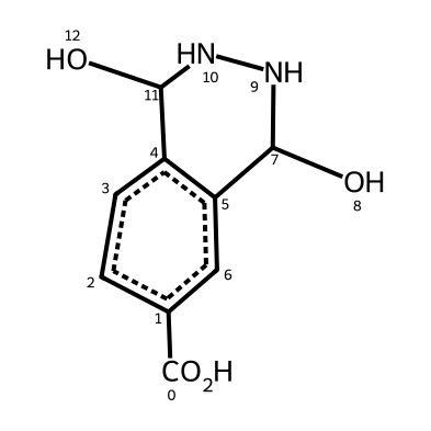 O=C(O)c1ccc2c(c1)C(O)NNC2O